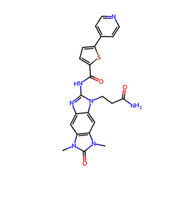 Cn1c(=O)n(C)c2cc3c(cc21)nc(NC(=O)c1ccc(-c2ccncc2)s1)n3CCC(N)=O